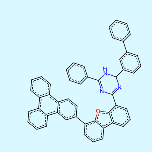 c1ccc(C2=NC(c3cccc4c3oc3c(-c5ccc6c7ccccc7c7ccccc7c6c5)cccc34)=NC(c3cccc(-c4ccccc4)c3)N2)cc1